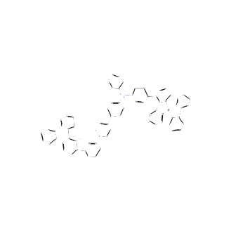 C1=CC(c2cccc3c2oc2c(-c4ccccc4-c4ccccc4)cccc23)CC=C1c1ccc(N(c2ccccc2)c2ccc(-c3cccc4c3-c3ccccc3C43c4ccccc4-c4ccccc43)cc2)cc1